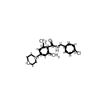 Cc1cc(N2CCOCC2)cc(C(F)(F)F)c1C(=O)NCc1ccc(Cl)cc1